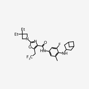 CCC1(CC)CN(c2nc(C(=O)Nc3cc(C)c(NC4CC5CC(C5)C4)c(F)c3)c(CC(F)(F)F)o2)C1